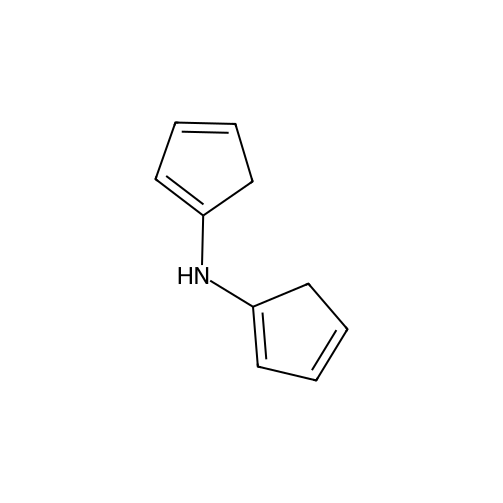 C1=CCC(NC2=CC=CC2)=C1